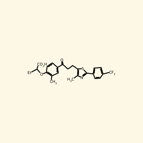 CCC(Oc1ccc(C(=O)CCc2sc(-c3ccc(C(F)(F)F)cc3)nc2C)cc1C)C(=O)O